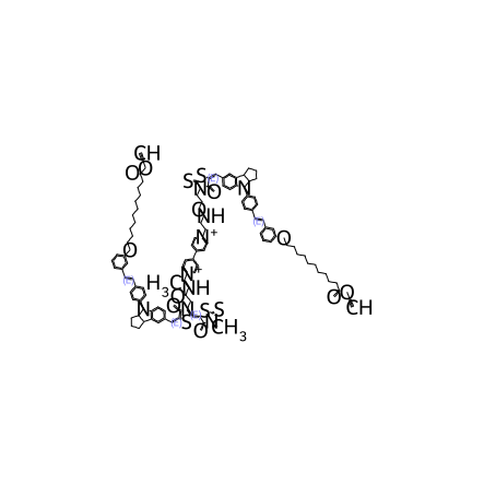 C#COC(=O)CCCCCCCCCCOc1cccc(/C=C/c2ccc(N3c4ccc(/C=C5/SC(=S)N(CCONCC[n+]6ccc(-c7cc[n+](C(C)NC(=O)Cn8c(=O)/c(=C\c9ccc%10c(c9)C9CCCC9N%10c9ccc(/C=C/c%10cccc(OCCCCCCCCCCC(=O)OC#C)c%10)cc9)s/c8=C8/SC(=S)N(C)C8=O)cc7)cc6)C5=O)cc4C4CCCC43)cc2)c1